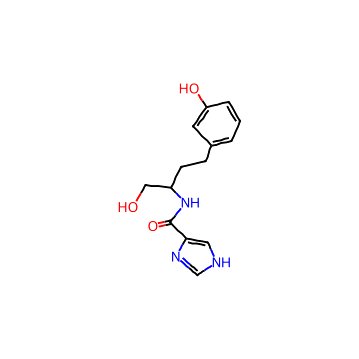 O=C(NC(CO)CCc1cccc(O)c1)c1c[nH]cn1